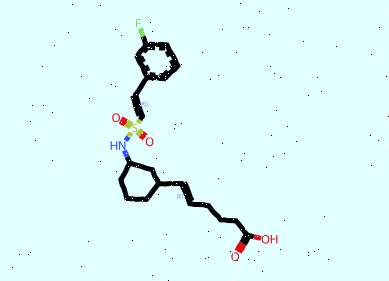 O=C(O)CCC/C=C/C1CCCC(NS(=O)(=O)/C=C/c2cccc(F)c2)C1